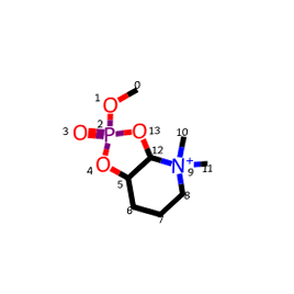 COP1(=O)OC2CCC[N+](C)(C)C2O1